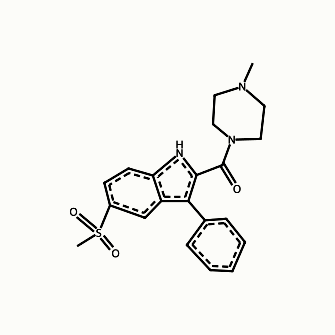 CN1CCN(C(=O)c2[nH]c3ccc(S(C)(=O)=O)cc3c2-c2ccccc2)CC1